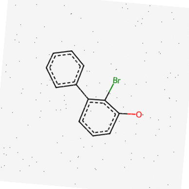 [O]c1cccc(-c2ccccc2)c1Br